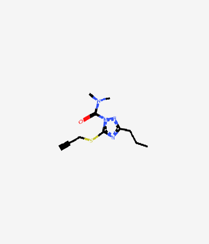 C#CCSc1nc(CCC)nn1C(=O)N(C)C